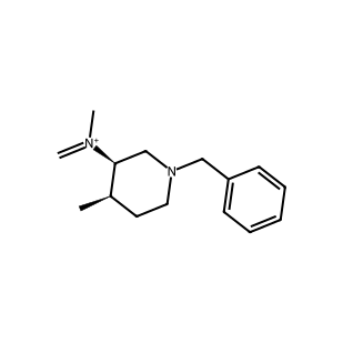 C=[N+](C)[C@H]1CN(Cc2ccccc2)CC[C@H]1C